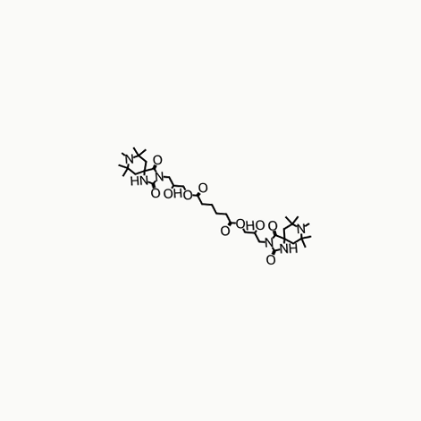 CN1C(C)(C)CC2(CC1(C)C)NC(=O)N(CC(O)COC(=O)CCCCC(=O)OCC(O)CN1C(=O)NC3(CC(C)(C)N(C)C(C)(C)C3)C1=O)C2=O